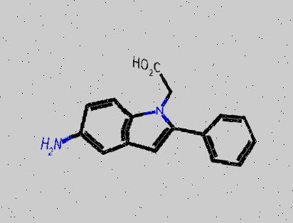 Nc1ccc2c(c1)cc(-c1ccccc1)n2CC(=O)O